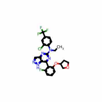 CCN(c1nc(-c2c(F)cccc2OC2CCOC2)c2[nH]ncc2n1)c1ccc(C(F)(F)F)cc1Cl